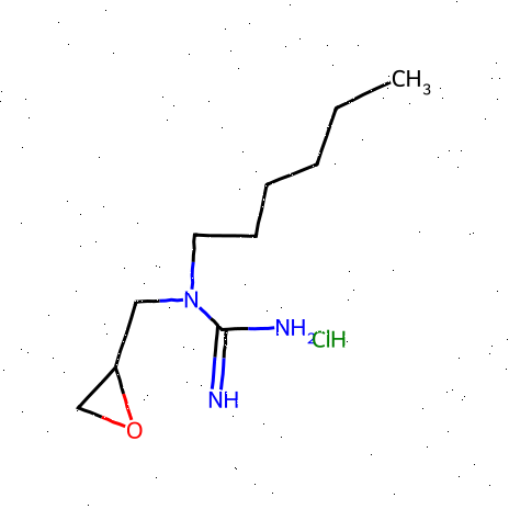 CCCCCCN(CC1CO1)C(=N)N.Cl